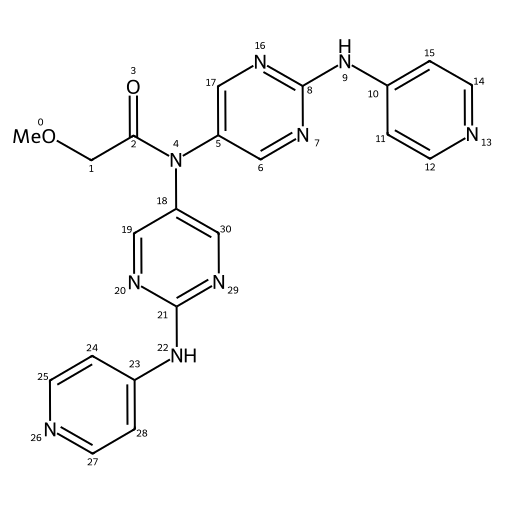 COCC(=O)N(c1cnc(Nc2ccncc2)nc1)c1cnc(Nc2ccncc2)nc1